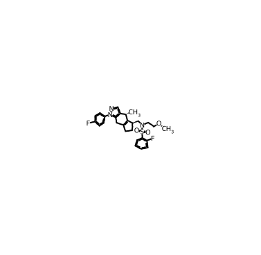 COCCN(C[C@H]1CCC2=C1[C@@H](C)c1cnn(-c3ccc(F)cc3)c1C2)S(=O)(=O)c1ccccc1F